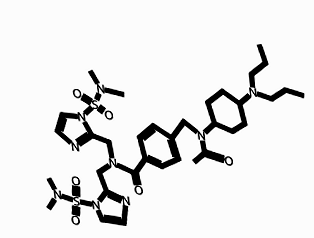 CCCN(CCC)C1CCC(N(Cc2ccc(C(=O)N(Cc3nccn3S(=O)(=O)N(C)C)Cc3nccn3S(=O)(=O)N(C)C)cc2)C(C)=O)CC1